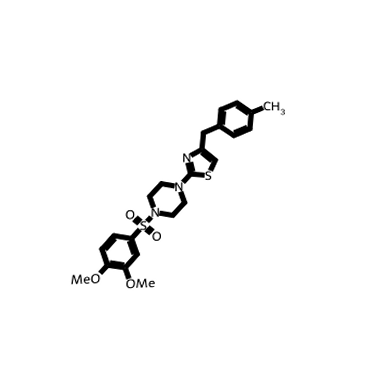 COc1ccc(S(=O)(=O)N2CCN(c3nc(Cc4ccc(C)cc4)cs3)CC2)cc1OC